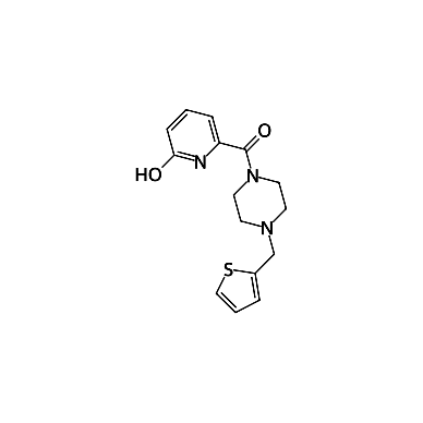 O=C(c1cccc(O)n1)N1CCN(Cc2cccs2)CC1